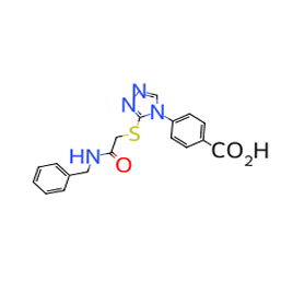 O=C(CSc1nncn1-c1ccc(C(=O)O)cc1)NCc1ccccc1